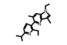 CCc1nc(C(C)C)ccc1-c1nc2c(C)cn(CC)c2cc1C